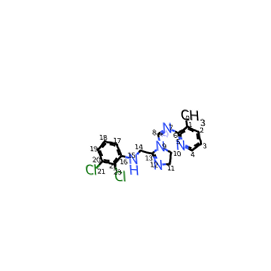 Cc1cccnc1/N=C\N1CCN=C1CNc1cccc(Cl)c1Cl